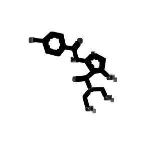 CCN(CC)C(=O)c1c(C)csc1NC(=O)c1ccc(Cl)cc1